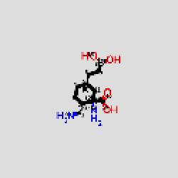 NC[C@@H]1CC[C@@H](CCB(O)O)C[C@]1(N)C(=O)O